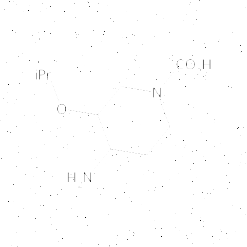 CC(C)OC1CN(C(=O)O)CCC1N